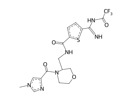 Cn1cnc(C(=O)N2CCOCC2CNC(=O)c2ccc(C(=N)NC(=O)C(F)(F)F)s2)c1